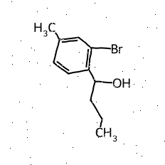 CCCC(O)c1ccc(C)cc1Br